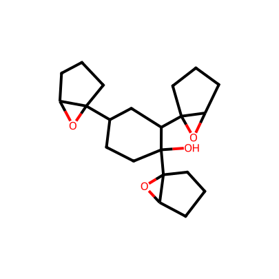 OC1(C23CCCC2O3)CCC(C23CCCC2O3)CC1C12CCCC1O2